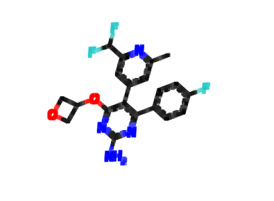 Cc1cc(-c2c(OC3COC3)nc(N)nc2-c2ccc(F)cc2)cc(C(F)F)n1